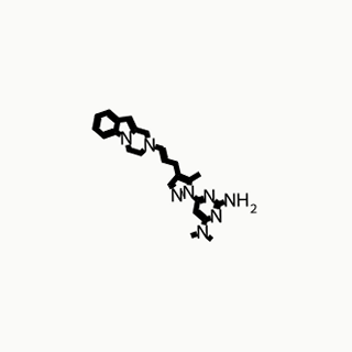 Cc1c(CC=CN2CCn3c(cc4ccccc43)C2)cnn1-c1cc(N(C)C)nc(N)n1